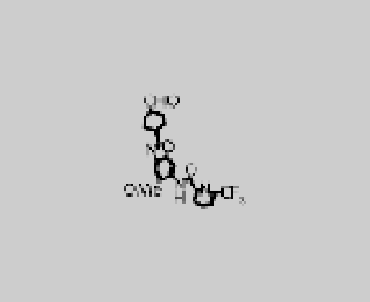 COc1cc2nc(C3CCC(C=O)CC3)oc2cc1NC(=O)c1cccc(C(F)(F)F)n1